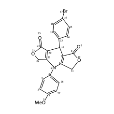 COc1ccc(N2C3=C(C(=O)OC3)C(c3ccc(Br)cc3)C3=C2COC3=O)cc1